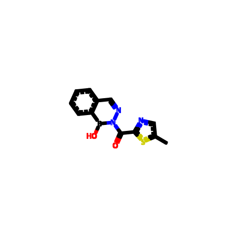 Cc1cnc(C(=O)N2N=Cc3ccccc3B2O)s1